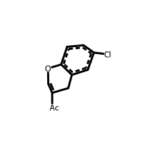 CC(=O)C1=COc2ccc(Cl)cc2C1